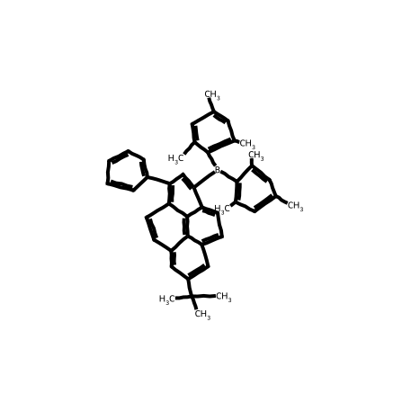 Cc1cc(C)c(B(c2c(C)cc(C)cc2C)c2cc(-c3ccccc3)c3ccc4cc(C(C)(C)C)cc5ccc2c3c54)c(C)c1